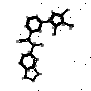 Cc1nn(-c2cccc(C(=O)N(C)c3ccc4c(c3)OCO4)c2)c(C)c1C#N